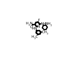 Cc1cc(C)cc(Nc2nc(N[C@@H]3CCCC[C@@H]3N)c(F)cc2C(N)=O)c1